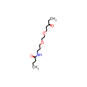 CCCC(=O)NCCCOCCOCCC(=O)CC